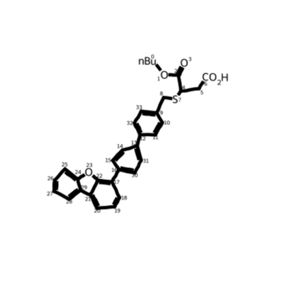 CCCCOC(=O)C(CC(=O)O)SCc1ccc(-c2ccc(-c3cccc4c3oc3ccccc34)cc2)cc1